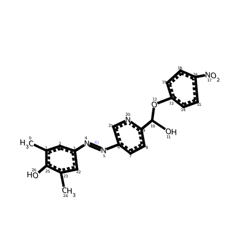 Cc1cc(/N=N/c2ccc(C(O)Oc3ccc([N+](=O)[O-])cc3)nc2)cc(C)c1O